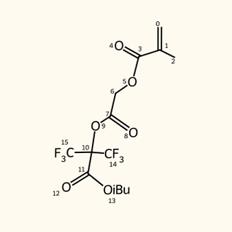 C=C(C)C(=O)OCC(=O)OC(C(=O)OCC(C)C)(C(F)(F)F)C(F)(F)F